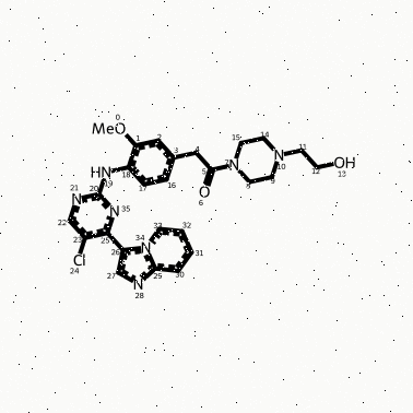 COc1cc(CC(=O)N2CCN(CCO)CC2)ccc1Nc1ncc(Cl)c(-c2cnc3ccccn23)n1